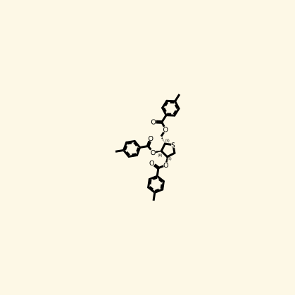 Cc1ccc(C(=O)OC[C@@H]2SC[C@@H](OC(=O)c3ccc(C)cc3)[C@H]2OC(=O)c2ccc(C)cc2)cc1